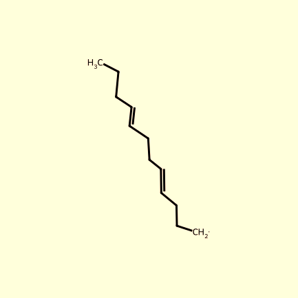 [CH2]CCC=CCCC=CCCC